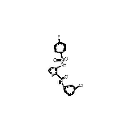 O=C(Nc1cccc(Cl)c1)c1sccc1NS(=O)(=O)c1ccc(F)cc1